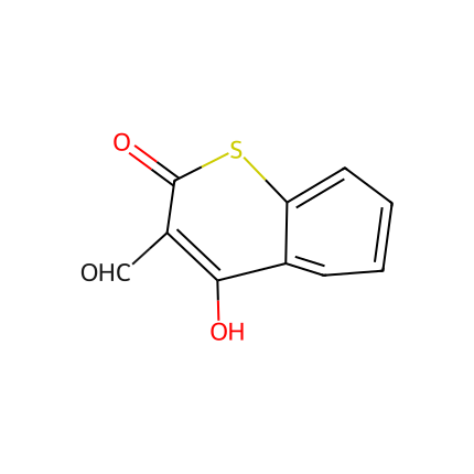 O=Cc1c(O)c2ccccc2sc1=O